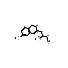 Cc1ccc2c(c1)C=C(CC(N)CN)CC2